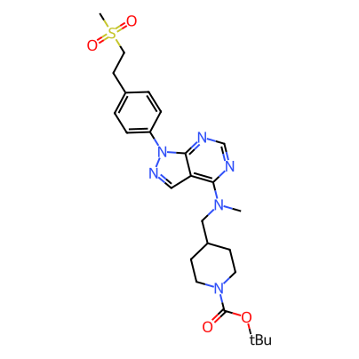 CN(CC1CCN(C(=O)OC(C)(C)C)CC1)c1ncnc2c1cnn2-c1ccc(CCS(C)(=O)=O)cc1